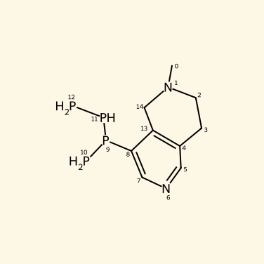 CN1CCc2cncc(P(P)PP)c2C1